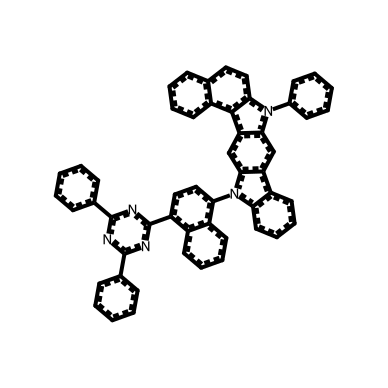 c1ccc(-c2nc(-c3ccccc3)nc(-c3ccc(-n4c5ccccc5c5cc6c(cc54)c4c5ccccc5ccc4n6-c4ccccc4)c4ccccc34)n2)cc1